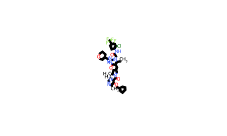 CCc1c(C=C2CN(C(=O)c3ncnc(C)c3OCc3ccccc3)C(C)(C)C2)c(=O)n2nc(C3=CCOCCC3)nc2n1CC(=O)Nc1ccc(C(F)(F)F)c(F)c1Cl